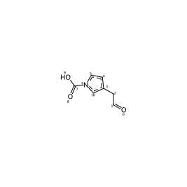 O=CCc1ccn(C(=O)O)c1